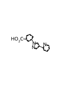 O=C(O)c1cccc(-n2cc(-c3ccccn3)cn2)c1